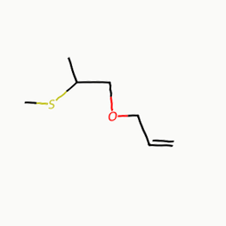 C=CCOCC(C)SC